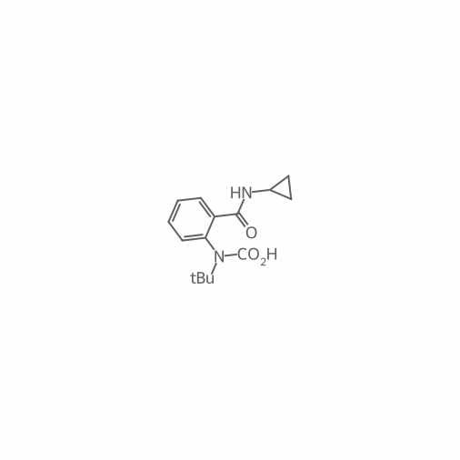 CC(C)(C)N(C(=O)O)c1ccccc1C(=O)NC1CC1